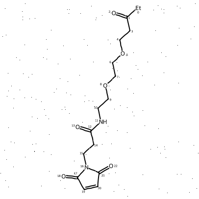 CCC(=O)CCOCCOCCNC(=O)CCN1C(=O)C=CC1=O